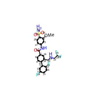 COc1cc(NC(=O)c2ccc(-c3cc(F)ccc3F)c(CNCC(F)F)c2)ccc1S(N)(=O)=O